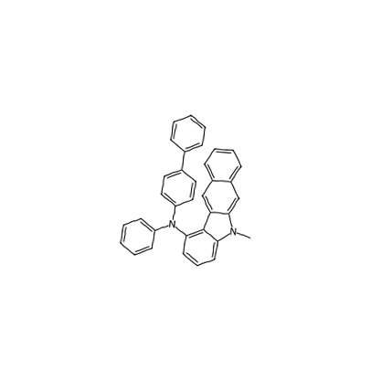 Cn1c2cc3ccccc3cc2c2c(N(c3ccccc3)c3ccc(-c4ccccc4)cc3)cccc21